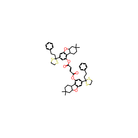 CC1(C)CCC2c3c(OC(=O)C=CC(=O)Oc4cc(C5(CCc6ccccc6)SCCS5)cc5c4C4CCC(C)(C)CC4O5)cc(C4(CCc5ccccc5)SCCS4)cc3OC2C1